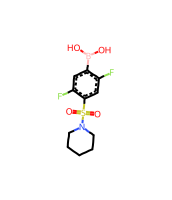 O=S(=O)(c1cc(F)c(B(O)O)cc1F)N1CCCCC1